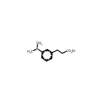 CCOC(=O)CCc1cccc(N(C)C)c1